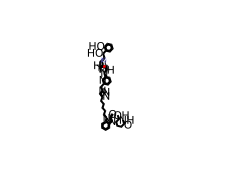 O=C1CCC(n2c(=O)n(CCCCCc3cn(Cc4cccc(N5C[C@H]6C[C@@H]5CN6/C=C/C(O)c5ccccc5O)n4)nn3)c3ccccc32)C(O)N1